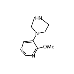 COc1ncncc1N1CCNCC1